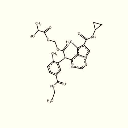 CCNC(=O)c1ccc(C)c(N(C(=O)OCOC(=O)C(C)O)c2ncnn3cc(C(=O)NC4CC4)c(C)c23)c1